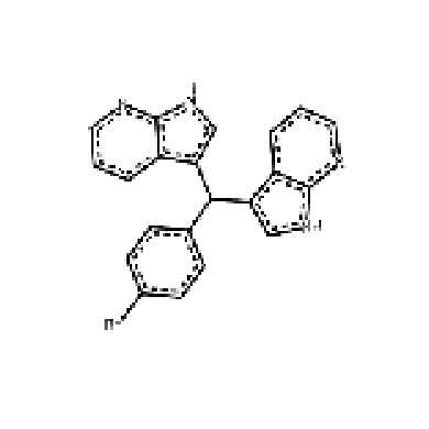 Brc1ccc(C(c2c[nH]c3ncccc23)c2c[nH]c3ncccc23)cc1